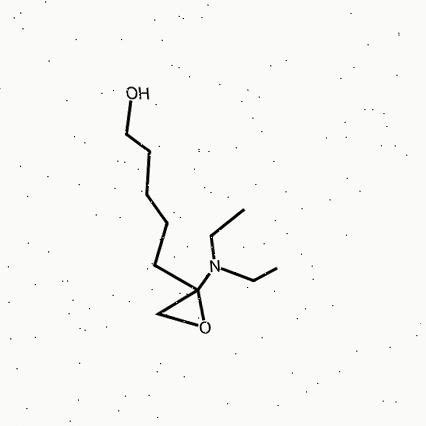 CCN(CC)C1(CCCCCO)CO1